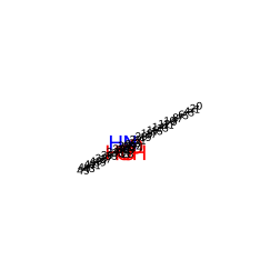 CCCCCCCCCCCCCCCCCCCCCCCC(=O)N[C@@H](CO)C[C@H](O)CCCCCCCCCCCCCC